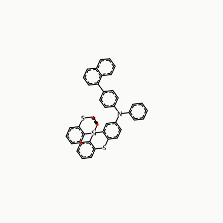 c1ccc(N(c2ccc(-c3cccc4ccccc34)cc2)c2ccc3c(c2)[Si]2(c4ccccc4Sc4ccccc42)c2ccccc2S3)cc1